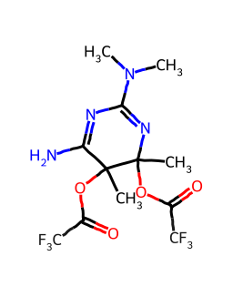 CN(C)C1=NC(C)(OC(=O)C(F)(F)F)C(C)(OC(=O)C(F)(F)F)C(N)=N1